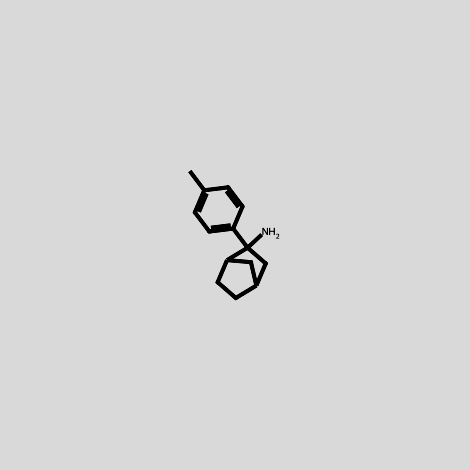 Cc1ccc(C2(N)CC3CCC2C3)cc1